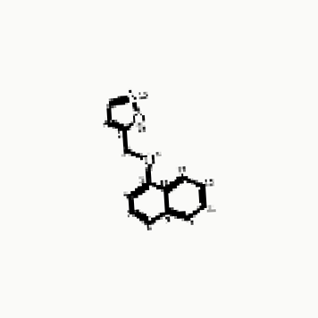 [c]1cc(COc2cccc3ccccc23)on1